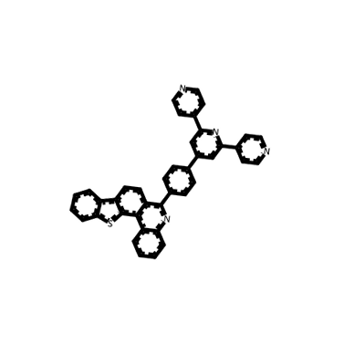 c1ccc2c(c1)nc(-c1ccc(-c3cc(-c4ccncc4)nc(-c4ccncc4)c3)cc1)c1ccc3c4ccccc4sc3c12